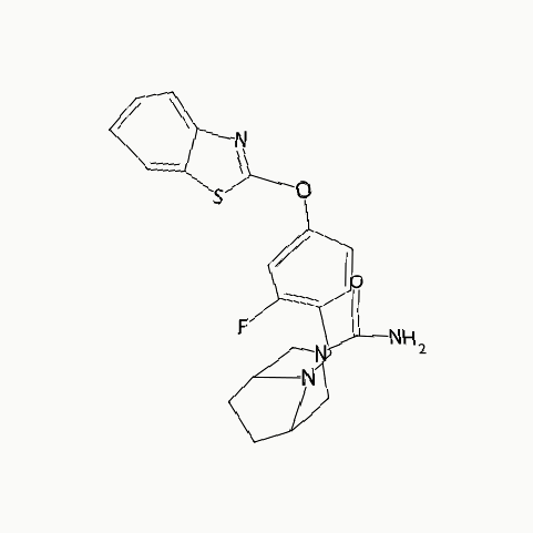 NC(=O)N1CC2CCC(C1)N2Cc1ccc(Oc2nc3ccccc3s2)cc1F